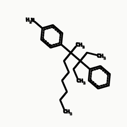 CCCCCCC(C)(c1ccc(N)cc1)C(CC)(CC)c1ccccc1